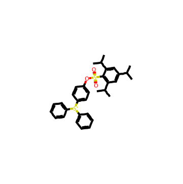 CC(C)c1cc(C(C)C)c(S(=O)(=O)Oc2ccc([S+](c3ccccc3)c3ccccc3)cc2)c(C(C)C)c1